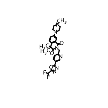 CN1CCN(c2ccc3c(c2)C(=O)N(Cc2ccc(-c4nnc(C(F)F)o4)cn2)C(=O)C3(C)C)CC1